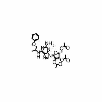 CC(=O)OC[C@H]1O[C@@H](n2cnc3c(NC(C)COc4ccccc4)nc(N)nc32)[C@H](OC(C)=O)[C@@H]1OC(C)=O